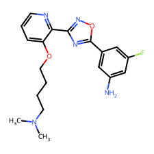 CN(C)CCCCOc1cccnc1-c1noc(-c2cc(N)cc(F)c2)n1